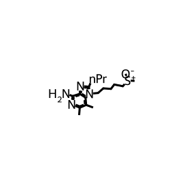 CCCc1nc2c(N)nc(C)c(C)c2n1CCCCC[S+](C)[O-]